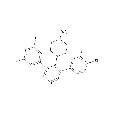 Cc1cc(F)cc(-c2cncc(-c3ccc(Cl)c(C)c3)c2N2CCC(N)CC2)c1